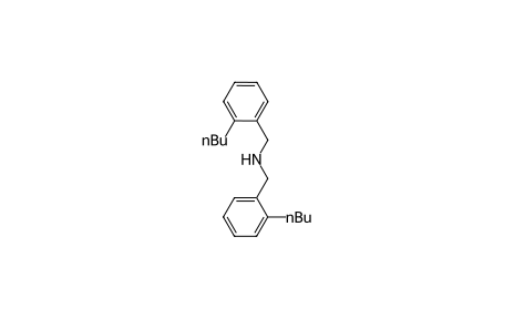 CCCCc1ccccc1CNCc1ccccc1CCCC